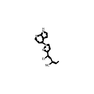 C/C=C(C#N)\C=C(/CC)c1ccn(-c2ccnc3[nH]ccc23)n1